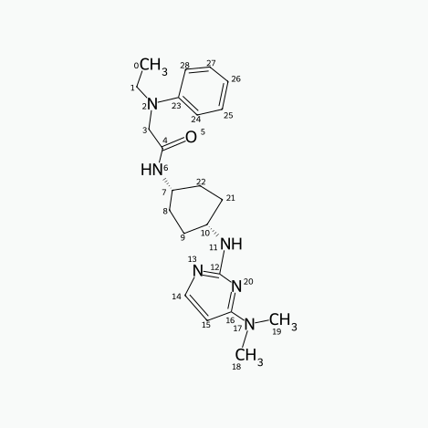 CCN(CC(=O)N[C@H]1CC[C@@H](Nc2nccc(N(C)C)n2)CC1)c1ccccc1